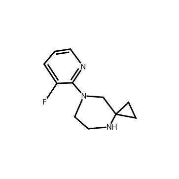 Fc1cccnc1N1CCNC2(CC2)C1